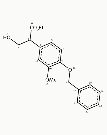 CCOC(=O)C(CO)c1ccc(OCc2ccccc2)c(OC)c1